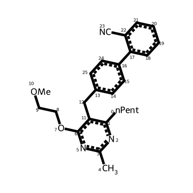 CCCCCc1nc(C)nc(OCCOC)c1Cc1ccc(-c2ccccc2C#N)cc1